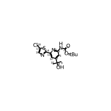 CC(C)(C)OC(=O)Nc1cc(C(C)(C)O)cc(-c2ncc(Cl)s2)n1